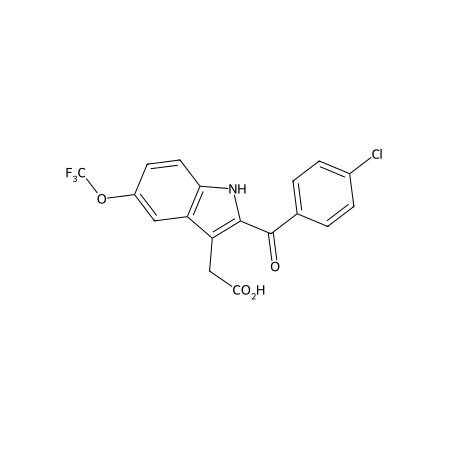 O=C(O)Cc1c(C(=O)c2ccc(Cl)cc2)[nH]c2ccc(OC(F)(F)F)cc12